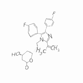 C=C(C)c1nc(-c2ccc(F)cc2)c(-c2ccc(F)cc2)n1CC[C@H]1C[C@H](O)CC(=O)O1